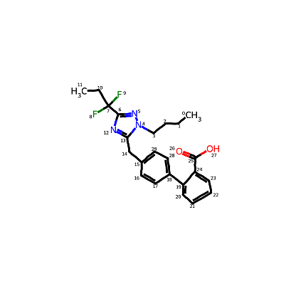 CCCCn1nc(C(F)(F)CC)nc1Cc1ccc(-c2ccccc2C(=O)O)cc1